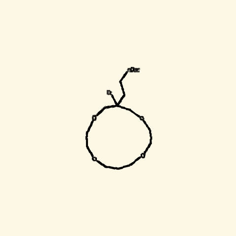 CCCCCCCCCCCCC1(CC)COCCOCCCOCCOC1